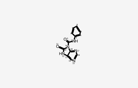 O=C(Nc1ccccc1)n1c(=O)[nH]c2cncnc21